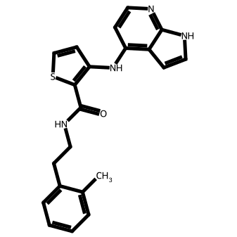 Cc1ccccc1CCNC(=O)c1sccc1Nc1ccnc2[nH]ccc12